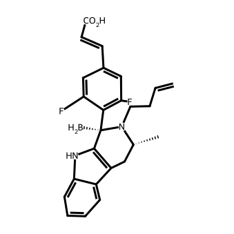 B[C@@]1(c2c(F)cc(/C=C/C(=O)O)cc2F)c2[nH]c3ccccc3c2C[C@@H](C)N1CCC=C